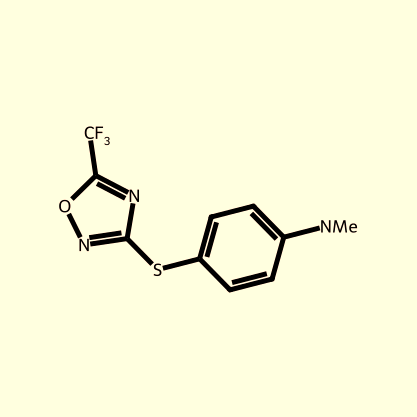 CNc1ccc(Sc2noc(C(F)(F)F)n2)cc1